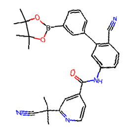 CC(C)(C#N)c1cc(C(=O)Nc2ccc(C#N)c(-c3cccc(B4OC(C)(C)C(C)(C)O4)c3)c2)ccn1